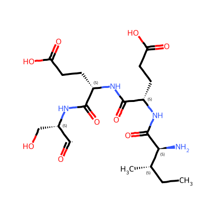 CC[C@H](C)[C@H](N)C(=O)N[C@@H](CCC(=O)O)C(=O)N[C@@H](CCC(=O)O)C(=O)N[C@H]([C]=O)CO